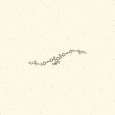 C=CC(=O)OCCCSc1ccc(C#Cc2ccc(C(=O)Oc3ccc(OC(=O)c4ccc(C#Cc5ccc(SCCCOC(=O)C=C)cc5)cc4)c(C(=O)OCCCC)c3)cc2)cc1